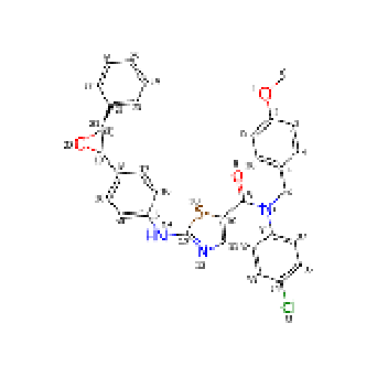 COc1ccc(CN(C(=O)c2cnc(Nc3ccc(C4O[C@H]4c4ccccc4)cc3)s2)c2ccc(Cl)cc2)cc1